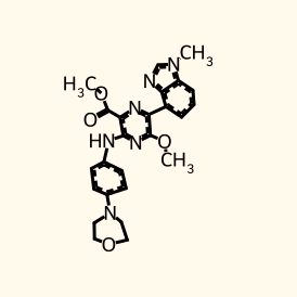 COC(=O)c1nc(-c2cccc3c2ncn3C)c(OC)nc1Nc1ccc(N2CCOCC2)cc1